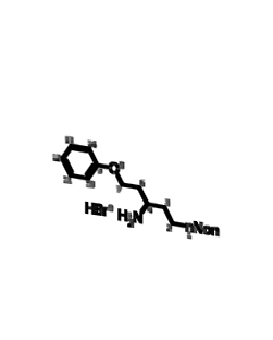 Br.CCCCCCCCCCCC(N)CCOc1ccccc1